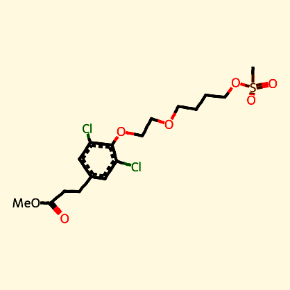 COC(=O)CCc1cc(Cl)c(OCCOCCCCOS(C)(=O)=O)c(Cl)c1